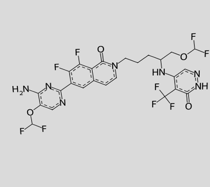 Nc1nc(-c2cc3ccn(CCCC(COC(F)F)Nc4cn[nH]c(=O)c4C(F)(F)F)c(=O)c3c(F)c2F)ncc1OC(F)F